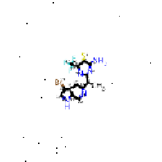 CC(C1=NC(N)C(=S)C(C(F)(F)F)=N1)c1cc2c(Br)c[nH]c2cn1